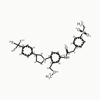 CCS(=O)(=O)c1ccc(CC(=O)Nc2ccc(N3CCC(c4ccc(C(F)(F)F)cc4)C3)c(COC)c2)cc1